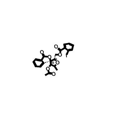 CC(=O)OC1C(C)O[C@@H](COC(=O)c2ccccc2I)[C@]1(C)OC(=O)c1ccccc1